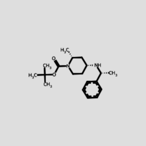 C[C@@H]1C[C@H](N[C@H](C)c2ccccc2)CCN1C(=O)OC(C)(C)C